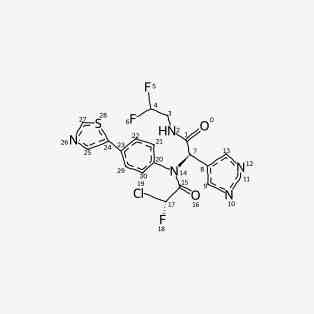 O=C(NCC(F)F)[C@@H](c1cncnc1)N(C(=O)[C@H](F)Cl)c1ccc(-c2cncs2)cc1